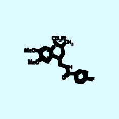 CCOC(=O)N1c2cc(OC)c(OC)cc2C(CNC(=O)c2ccc(F)cc2)CC1C